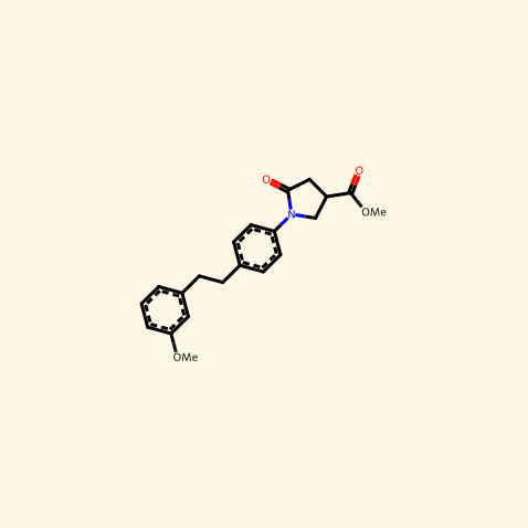 COC(=O)C1CC(=O)N(c2ccc(CCc3cccc(OC)c3)cc2)C1